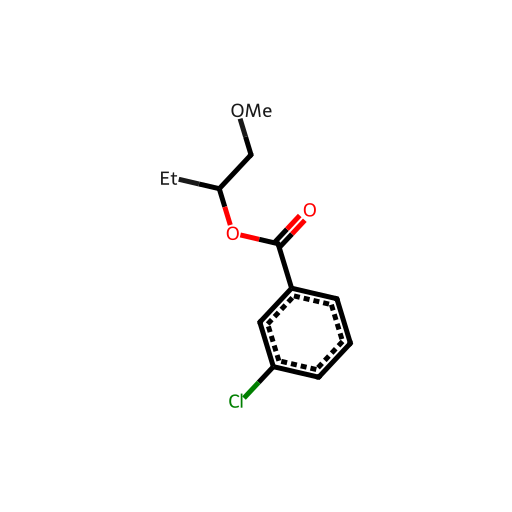 CCC(COC)OC(=O)c1cccc(Cl)c1